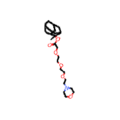 CC1(OC(=O)COCCOCCOCCN2CCOCC2)C2CC3CC(C2)CC1C3